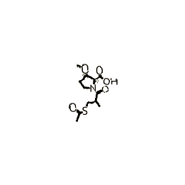 CO[C@@H]1CCN(C(=O)C(C)CSC(C)=O)[C@@H]1C(=O)O